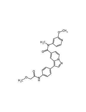 COCC(=O)Nc1ccc(-c2cnn3ccc(C(=O)N(C)c4ccnc(OC)c4)cc23)cc1